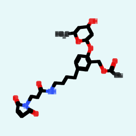 CC(C)(C)C(=O)OCc1cc(CCCCNC(=O)CCN2C(=O)C=CC2=O)ccc1OC1CC(O)CC(C(=O)O)O1